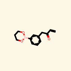 C=CC(=O)Cc1cccc(B2OCCCO2)c1